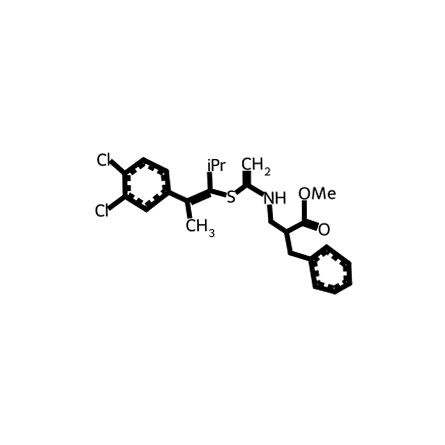 C=C(NCC(Cc1ccccc1)C(=O)OC)S/C(=C(\C)c1ccc(Cl)c(Cl)c1)C(C)C